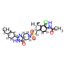 CCC1CCC(C2=NC3(CCN(S(=O)(=O)CCc4ccc(NC(C)=O)c(Cl)c4C)CC3)C(=O)N2)CC1